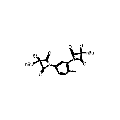 CCCCC1(CC)C(=O)N(c2ccc(C)c(N3C(=O)C(CC)(CCCC)C3=O)c2)C1=O